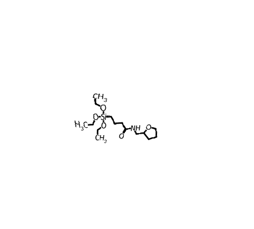 CCO[Si](CCCC(=O)NCC1CCCO1)(OCC)OCC